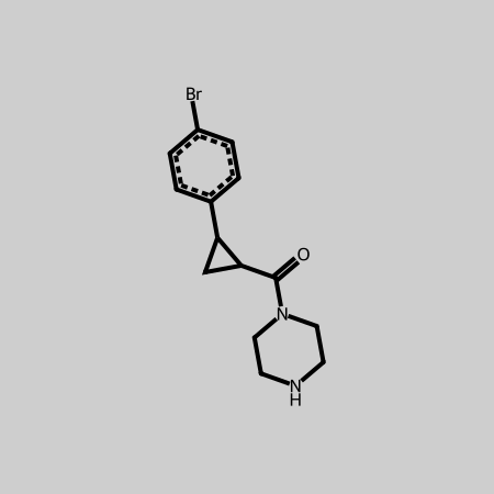 O=C(C1CC1c1ccc(Br)cc1)N1CCNCC1